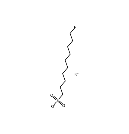 O=S(=O)([O-])CCCCCCCCCCF.[K+]